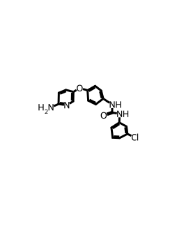 Nc1ccc(Oc2ccc(NC(=O)Nc3cccc(Cl)c3)cc2)cn1